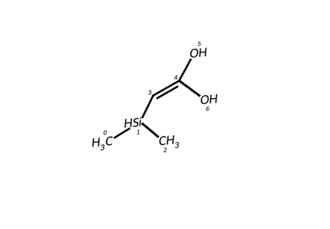 C[SiH](C)C=C(O)O